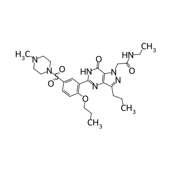 CCCOc1ccc(S(=O)(=O)N2CCN(C)CC2)cc1-c1nc2c(CCC)nn(CC(=O)NCC)c2c(=O)[nH]1